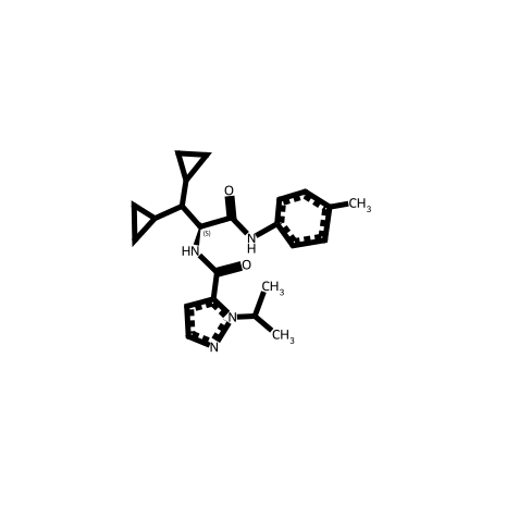 Cc1ccc(NC(=O)[C@@H](NC(=O)c2ccnn2C(C)C)C(C2CC2)C2CC2)cc1